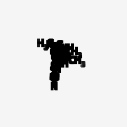 CCOC(=O)C1=C(C)NC(C)=C(C(=O)OCC)C1c1cccc(Nc2nc(-c3ccc(C#N)cc3)cs2)c1